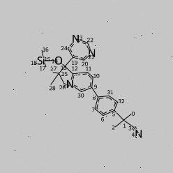 CC(C)(C#N)c1ccc(-c2ccc(C(O[Si](C)(C)C)(c3cncnc3)C(C)(C)C)nc2)cc1